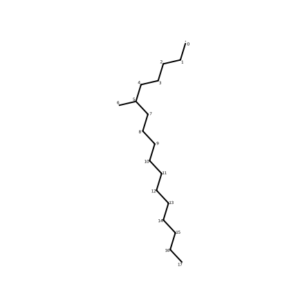 [CH2]CCCCC(C)CCCCCCCCCCC